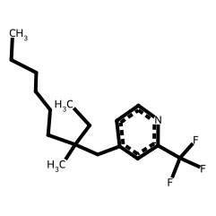 CCCCCCC(C)(CC)Cc1ccnc(C(F)(F)F)c1